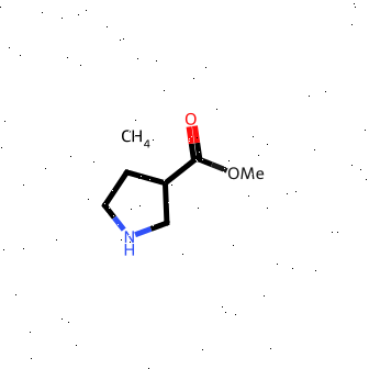 C.COC(=O)C1CCNC1